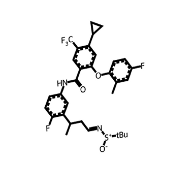 Cc1cc(F)ccc1Oc1cc(C2CC2)c(C(F)(F)F)cc1C(=O)Nc1ccc(F)c(C(C)CC=N[S+]([O-])C(C)(C)C)c1